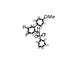 COc1ccc(-c2cc(F)c(F)cc2NS(=O)(=O)c2ccccc2)cc1